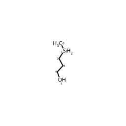 C[SiH2]CCCO